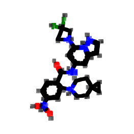 O=C(Nc1cc(N2CC(F)(F)C2)n2nccc2c1)c1ccc([N+](=O)[O-])cc1N1CCC2(CC1)CC2